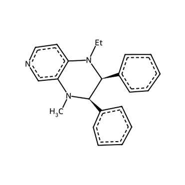 CCN1c2ccncc2N(C)[C@H](c2ccccc2)[C@@H]1c1ccccc1